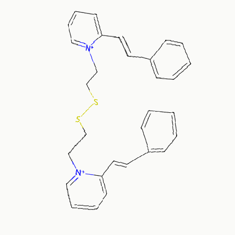 C(=C\c1cccc[n+]1CCSSCC[n+]1ccccc1/C=C/c1ccccc1)/c1ccccc1